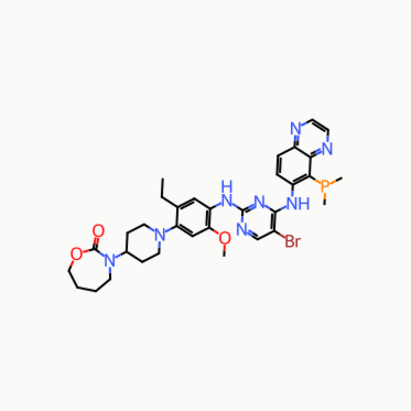 CCc1cc(Nc2ncc(Br)c(Nc3ccc4nccnc4c3P(C)C)n2)c(OC)cc1N1CCC(N2CCCCOC2=O)CC1